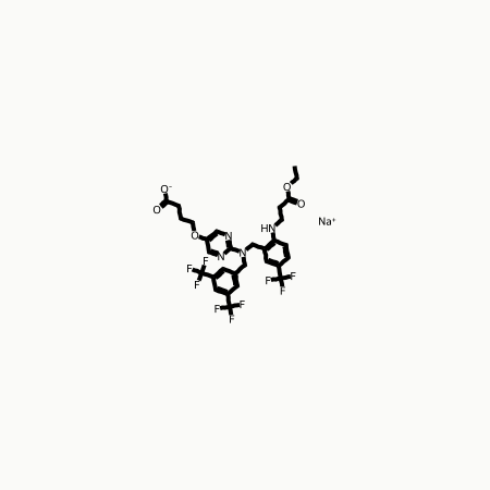 CCOC(=O)CCNc1ccc(C(F)(F)F)cc1CN(Cc1cc(C(F)(F)F)cc(C(F)(F)F)c1)c1ncc(OCCCC(=O)[O-])cn1.[Na+]